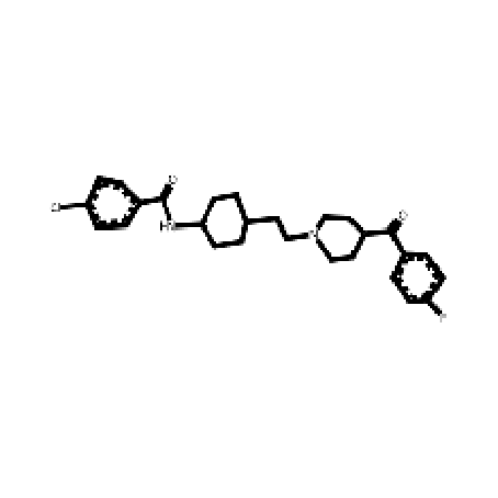 O=C(NC1CCC(CCN2CCC(C(=O)c3ccc(F)cc3)CC2)CC1)c1ccc(Cl)cc1